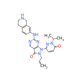 C=CCn1c(=O)c2cnc(Nc3ccc4c(c3)CNCC4)nc2n1-c1ccc(=O)n(C(C)C)n1